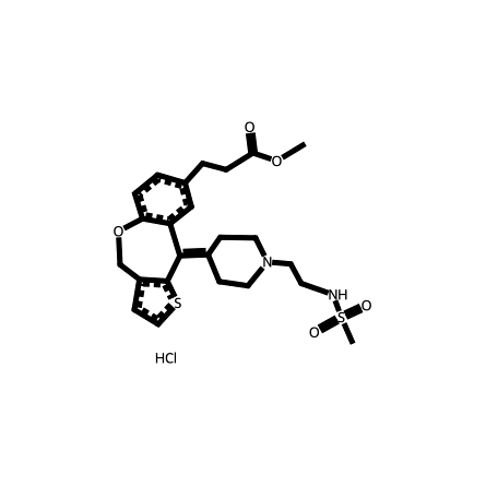 COC(=O)CCc1ccc2c(c1)C(=C1CCN(CCNS(C)(=O)=O)CC1)c1sccc1CO2.Cl